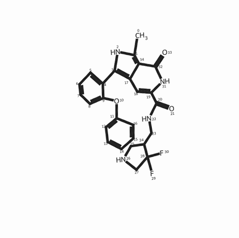 Cc1[nH]c(-c2ccccc2Oc2ccccc2)c2cc(C(=O)NCC3CNCC3(F)F)[nH]c(=O)c12